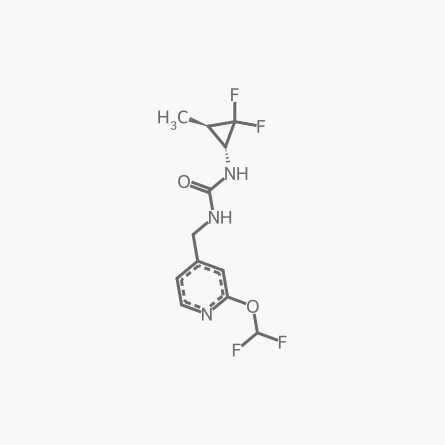 C[C@@H]1[C@@H](NC(=O)NCc2ccnc(OC(F)F)c2)C1(F)F